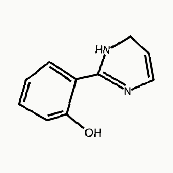 Oc1ccccc1C1=NC=CCN1